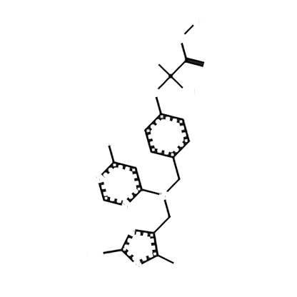 Cc1nc(C)c(CN(Cc2ccc(SC(C)(C)C(=O)OC(C)(C)C)cc2)c2cc(Cl)ncn2)s1